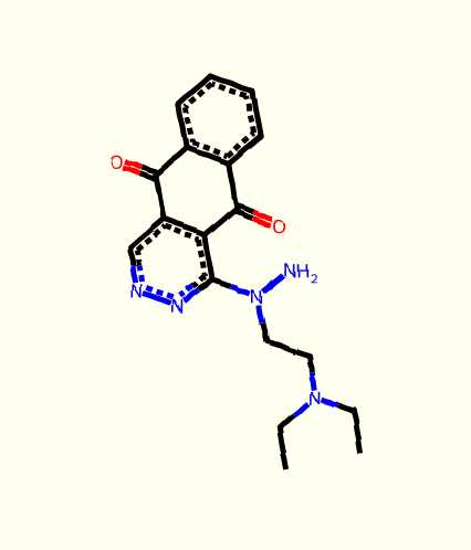 CCN(CC)CCN(N)c1nncc2c1C(=O)c1ccccc1C2=O